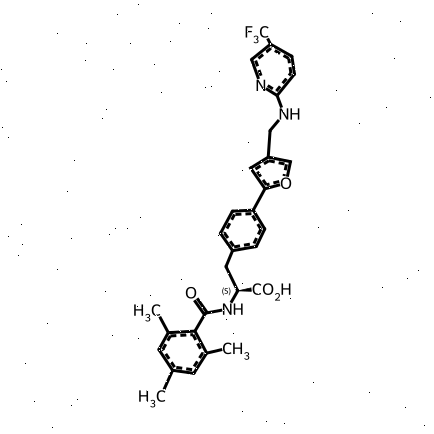 Cc1cc(C)c(C(=O)N[C@@H](Cc2ccc(-c3cc(CNc4ccc(C(F)(F)F)cn4)co3)cc2)C(=O)O)c(C)c1